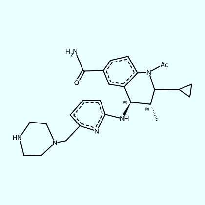 CC(=O)N1c2ccc(C(N)=O)cc2[C@H](Nc2cccc(CN3CCNCC3)n2)[C@@H](C)C1C1CC1